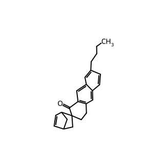 CCCCc1ccc2cc3c(cc2c1)C(=O)C1(CC3)CC2C=CC1C2